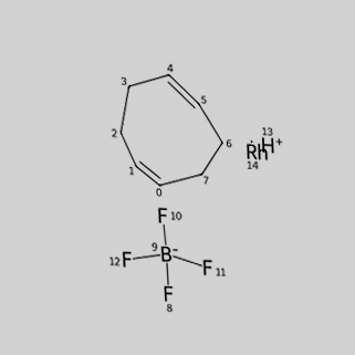 C1=CCCC=CCC1.F[B-](F)(F)F.[H+].[Rh]